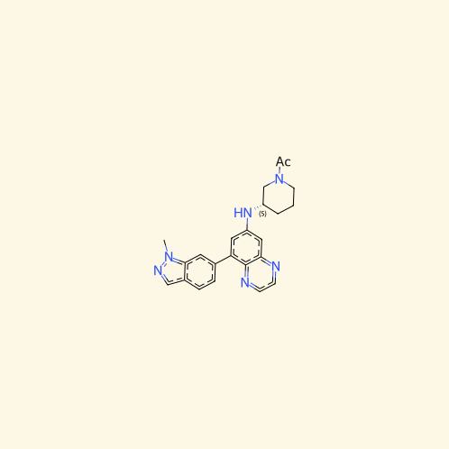 CC(=O)N1CCC[C@H](Nc2cc(-c3ccc4cnn(C)c4c3)c3nccnc3c2)C1